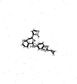 Cn1nccc1-c1cc2ncccc2c(Nc2ccc3nc(C4CC4)sc3c2)n1